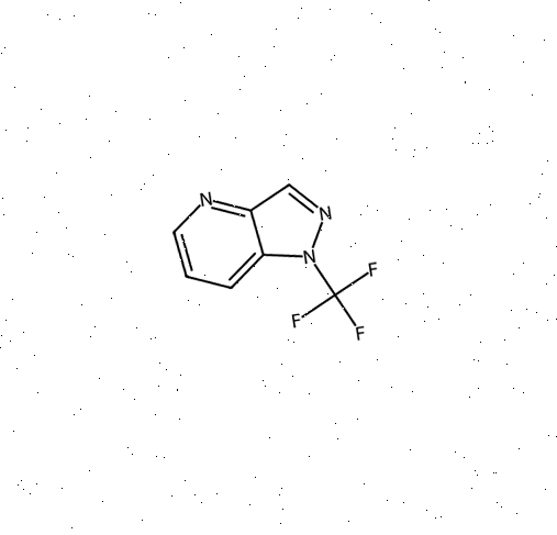 FC(F)(F)n1ncc2ncccc21